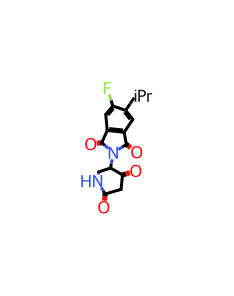 CC(C)c1cc2c(cc1F)C(=O)N(C1CNC(=O)CC1=O)C2=O